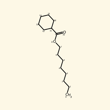 CCCCCCCCOC(=O)[C]1CCCCC1